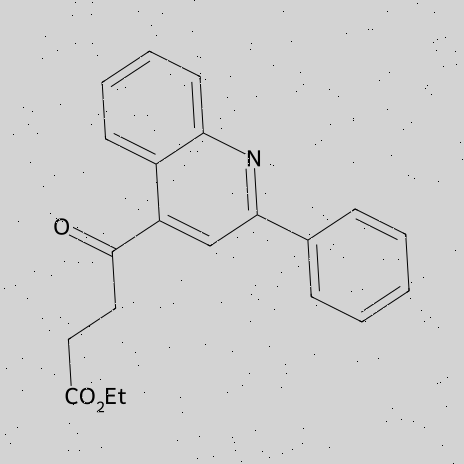 CCOC(=O)CCC(=O)c1cc(-c2ccccc2)nc2ccccc12